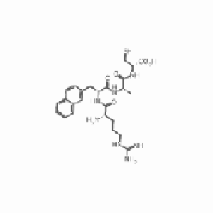 C[C@@H](NC(=O)[C@H](Cc1ccc2ccccc2c1)NC(=O)[C@@H](N)CCCNC(=N)N)C(=O)N[C@H](CS)C(=O)O